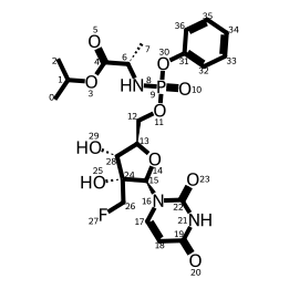 CC(C)OC(=O)[C@H](C)NP(=O)(OC[C@H]1O[C@@H](n2ccc(=O)[nH]c2=O)[C@@](O)(CF)[C@@H]1O)Oc1ccccc1